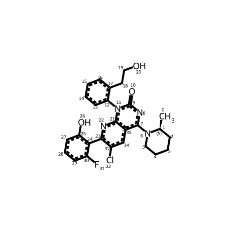 C[C@H]1CCCCN1c1nc(=O)n(-c2ccccc2CCO)c2nc(-c3c(O)cccc3F)c(Cl)cc12